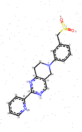 O=[SH](=O)Cc1cccc(N2CCc3nc(-c4ccccn4)ncc3C2)c1